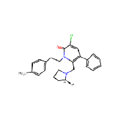 CCC[C@H]1CCCN1Cc1c(-c2ccccc2)cc(Cl)c(=O)n1CCc1ccc(C(=O)O)cc1